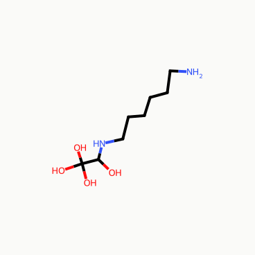 NCCCCCCNC(O)C(O)(O)O